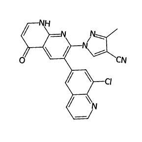 Cc1nn(-c2nc3[nH]ccc(=O)c3cc2-c2cc(Cl)c3ncccc3c2)cc1C#N